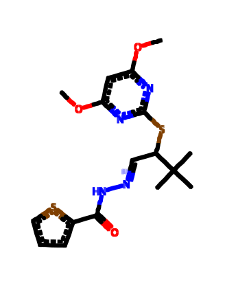 COc1cc(OC)nc(SC(/C=N/NC(=O)c2cccs2)C(C)(C)C)n1